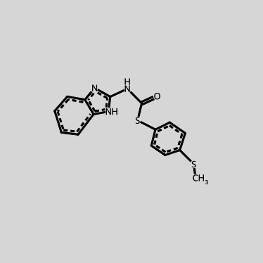 CSc1ccc(SC(=O)Nc2nc3ccccc3[nH]2)cc1